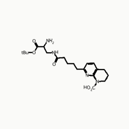 CC(C)(C)OC(=O)C(N)CNC(=O)CCCCc1ccc2c(n1)N(C(=O)O)CCC2